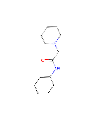 O=C(CN1CCCCC1)NC1CCCCC1